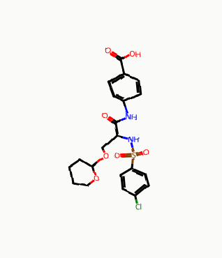 O=C(O)c1ccc(NC(=O)C(COC2CCCCO2)NS(=O)(=O)c2ccc(Cl)cc2)cc1